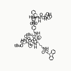 CC(C)CN(C[C@@H](O)[C@H](Cc1ccccc1)NC(=O)O[C@H]1CO[C@H]2OCC[C@H]21)S(=O)(=O)c1ccc(CNC(=O)[C@@H]2CCCN2C(=O)[C@H](CCCCNC(=O)OCC2c3ccccc3-c3ccccc32)NC(=O)[C@@H]2CCCN2C(=O)[C@H](CC(=O)OC(C)(C)C)NC(=O)OC(C)(C)C)cc1